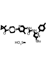 CS(=O)(=O)O.Cc1ccc(-n2nc(C(C)(C)C)cc2NC(=O)Nc2cnc(N3CCN(C(=O)C4(C)CC4)CC3)cc2C)cc1